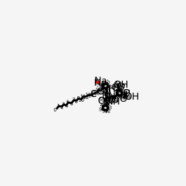 CCCCCCCCCCCCCCCCCCOc1ccccc1N=Nc1c(NC(=O)c2cc(S(=O)(=O)O)cc(S(=O)(=O)O)c2)[nH]n(-c2ccccc2)c1=O.[Na].[Na]